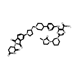 CN1CCN([C@@H]2CCCN(c3cnc(C(N)=O)c(Nc4ccc(C5CCN(C[C@H]6CCN(c7ccc8c(c7)C(=O)N([C@@H]7CCC(=O)NC7=O)C8=O)C6)CC5)nc4)n3)C2)C1=O